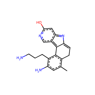 Cc1cc(N)c(CCCN)c2c1CC=C1N=c3cc(O)ncc3=C12